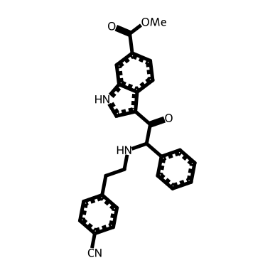 COC(=O)c1ccc2c(C(=O)C(NCCc3ccc(C#N)cc3)c3ccccc3)c[nH]c2c1